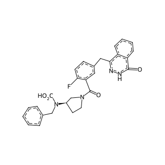 O=C(c1cc(Cc2n[nH]c(=O)c3ccccc23)ccc1F)N1CC[C@@H](N(Cc2ccccc2)C(=O)O)C1